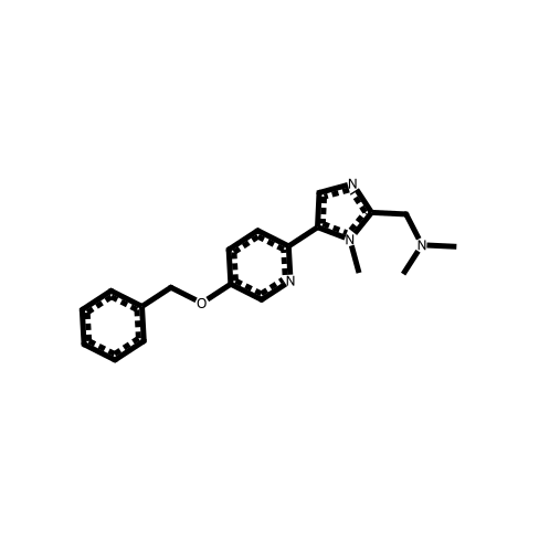 CN(C)Cc1ncc(-c2ccc(OCc3ccccc3)cn2)n1C